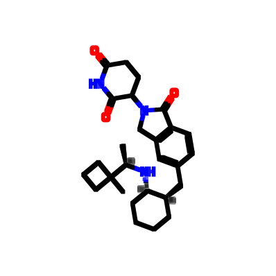 C[C@@H](N[C@H]1CCCC[C@@H]1Cc1ccc2c(c1)CN(C1CCC(=O)NC1=O)C2=O)C1(C)CCC1